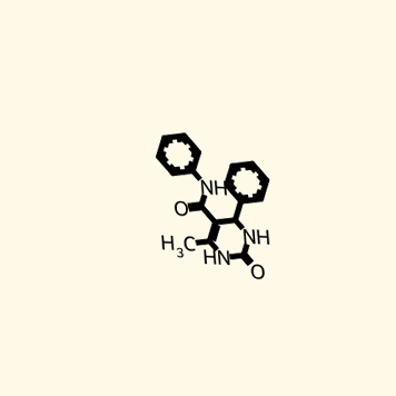 CC1=C(C(=O)Nc2ccccc2)C(c2ccccc2)NC(=O)N1